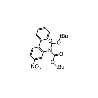 CC(C)(C)OC(=O)N(C(=O)OC(C)(C)C)c1cc([N+](=O)[O-])ccc1-c1ccccc1